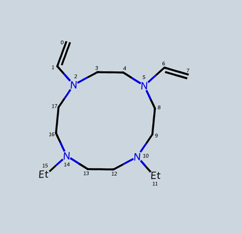 C=CN1CCN(C=C)CCN(CC)CCN(CC)CC1